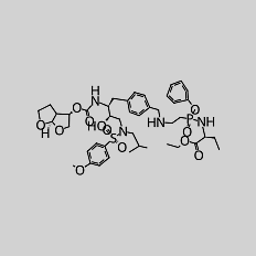 CCOC(=O)[C@H](CC)NP(=O)(CCNCc1ccc(C[C@H](NC(=O)O[C@H]2CO[C@H]3OCCC32)[C@H](O)CN(CC(C)C)S(=O)(=O)c2ccc(OC)cc2)cc1)Oc1ccccc1